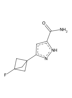 NC(=O)c1cc(C23CC(F)(C2)C3)n[nH]1